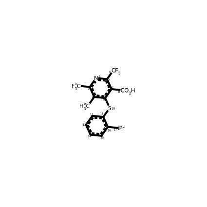 Cc1c(C(F)(F)F)nc(C(F)(F)F)c(C(=O)O)c1Sc1ccccc1C(C)C